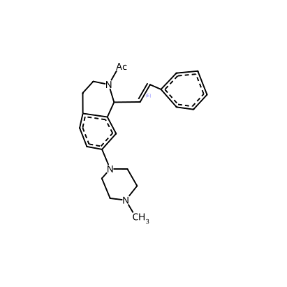 CC(=O)N1CCc2ccc(N3CCN(C)CC3)cc2C1/C=C/c1ccccc1